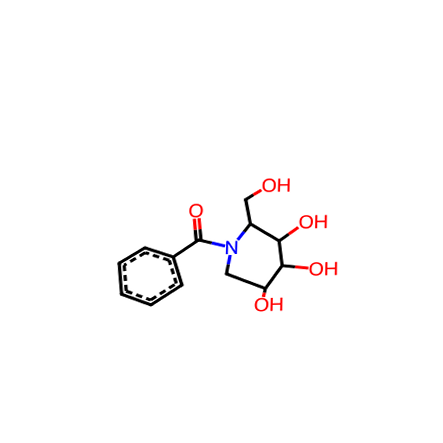 O=C(c1ccccc1)N1CC(O)C(O)C(O)C1CO